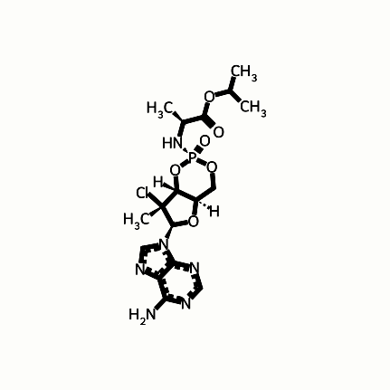 CC(C)OC(=O)[C@H](C)N[P@]1(=O)OC[C@H]2O[C@@H](n3cnc4c(N)ncnc43)[C@](C)(Cl)[C@@H]2O1